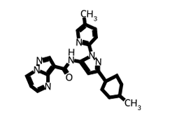 Cc1ccc(-n2nc(C3CCC(C)CC3)cc2NC(=O)c2cnn3cccnc23)nc1